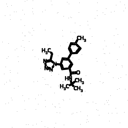 CCc1nnnn1-c1cc(C(=O)NC(C)(C)C)cc(-c2ccc(C)cc2)c1